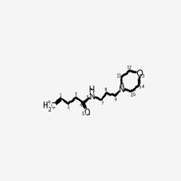 C=CCCC(=O)NCCCN1CCOCC1